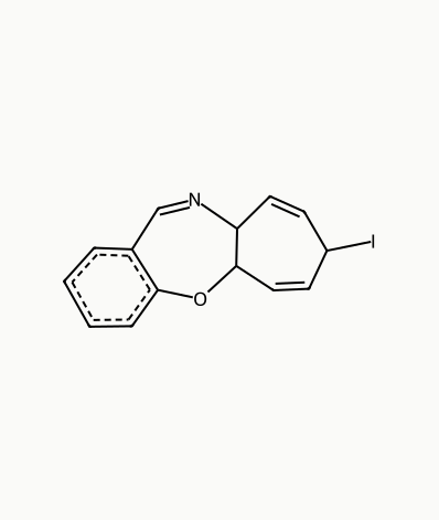 IC1C=CC2N=Cc3ccccc3OC2C=C1